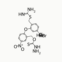 Br.Br.N=C(N)SCc1ccc(Cl)cc1Oc1ccc([N+](=O)[O-])cc1COC(=S)NN